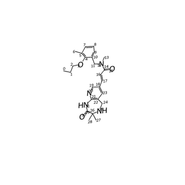 CCCOc1c(C)cccc1CN(C)C(=O)/C=C/c1cnc2c(c1)CNC(C)(C)C(=O)N2